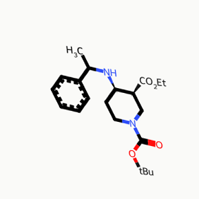 CCOC(=O)[C@H]1CN(C(=O)OC(C)(C)C)CC[C@H]1NC(C)c1ccccc1